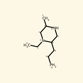 CCN1CC(C)NCC1CCP